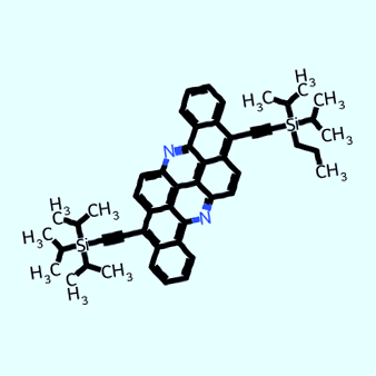 CCC[Si](C#Cc1c2ccccc2c2nc3ccc4c(C#C[Si](C(C)C)(C(C)C)C(C)C)c5ccccc5c5nc6ccc1c2c6c3c45)(C(C)C)C(C)C